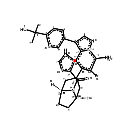 CC(C)(O)c1ccc(-c2cnn3c(N)c(Br)c(C4C[C@H]5CC[C@@H](C4)N5C(=O)c4nc[nH]n4)nc23)cn1